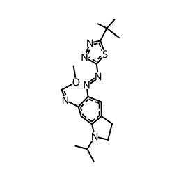 CO/C=N\c1cc2c(cc1N=Nc1nnc(C(C)(C)C)s1)CCN2C(C)C